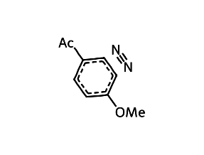 COc1ccc(C(C)=O)cc1.N#N